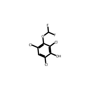 Oc1c(Cl)cc(Cl)c(OC(F)F)c1Cl